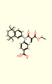 C=C(C(=O)OCC)C(=O)N(c1ccc(C(=O)O)cc1)c1ccc2c(c1)C(C)(C)CCC2(C)C